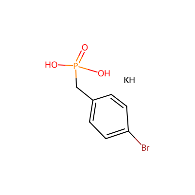 O=P(O)(O)Cc1ccc(Br)cc1.[KH]